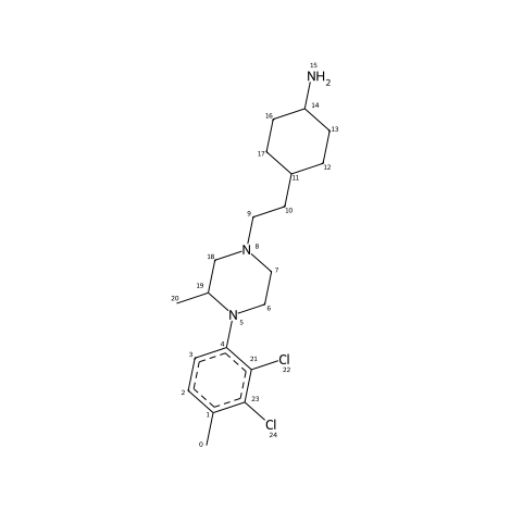 Cc1ccc(N2CCN(CCC3CCC(N)CC3)CC2C)c(Cl)c1Cl